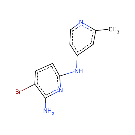 Cc1cc(Nc2ccc(Br)c(N)n2)ccn1